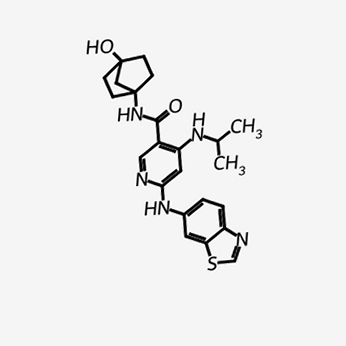 CC(C)Nc1cc(Nc2ccc3ncsc3c2)ncc1C(=O)NC12CCC(O)(CC1)C2